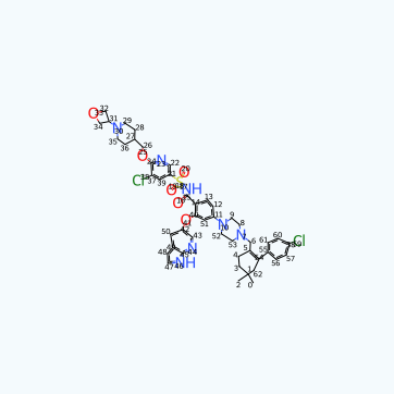 CC1(C)CCC(CN2CCN(c3ccc(C(=O)NS(=O)(=O)c4cnc(OCC5CCN(C6COC6)CC5)c(Cl)c4)c(Oc4cnc5[nH]ccc5c4)c3)CC2)=C(c2ccc(Cl)cc2)C1